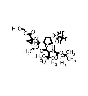 C=C[C@@H]1C[C@]1(NC(=O)[C@@H]1C[C@H](OS(=O)(=O)C(F)(F)F)CN1C(=O)[C@@H](NC(=O)OC(C)(C)C)C(C)(C)C)C(=O)OCC